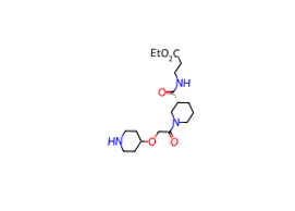 CCOC(=O)CCNC(=O)[C@@H]1CCCN(C(=O)COC2CCNCC2)C1